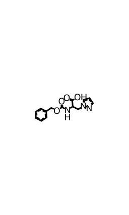 O=C(NC(Cn1cccn1)C(=O)O)OCc1ccccc1